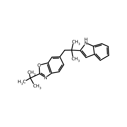 CC(C)(C)c1nc2ccc(CC(C)(C)c3cc4ccccc4[nH]3)cc2o1